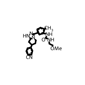 COCCNC(=O)Nc1cc(C2=NNC3CC(c4ccc(C#N)cc4)CCN23)ccc1C